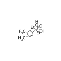 CCC(CC)(c1ccc(C)c(C(F)(F)F)c1)P(=O)(O)O